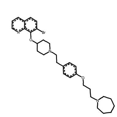 Brc1ccc2cccnc2c1OC1CCN(CCc2ccc(OCCCN3CCCCCC3)cc2)CC1